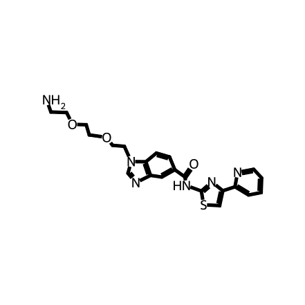 NCCOCCOCCn1cnc2cc(C(=O)Nc3nc(-c4ccccn4)cs3)ccc21